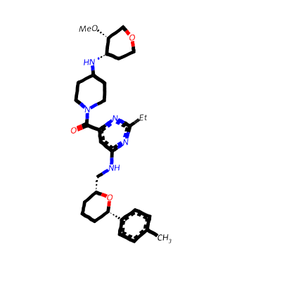 CCc1nc(NC[C@H]2CCC[C@@H](c3ccc(C)cc3)O2)cc(C(=O)N2CCC(N[C@H]3CCOC[C@H]3OC)CC2)n1